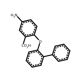 Nc1ccc(Oc2ccccc2-c2ccccc2)c(C(=O)O)c1